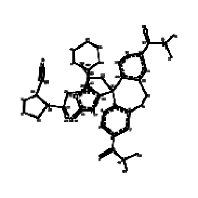 C=C(c1ccc2c(c1)CCc1cc(C(=O)N(C)C)ccc1C2(C[C@@H](C)NCC(=O)N1CCCC1C#N)c1nc(=O)on1C1CCCCC1)N(C)C